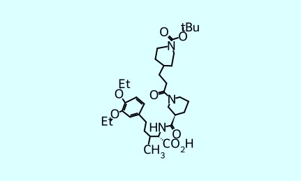 CCOc1ccc(CCC(C)[C@H](NC(=O)[C@@H]2CCCN(C(=O)CCC3CCN(C(=O)OC(C)(C)C)CC3)C2)C(=O)O)cc1OCC